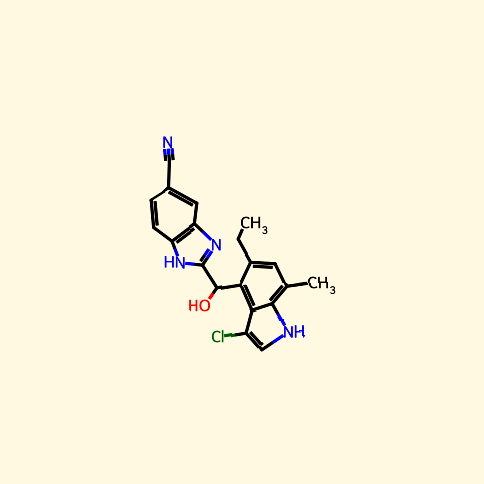 CCc1cc(C)c2[nH]cc(Cl)c2c1C(O)c1nc2cc(C#N)ccc2[nH]1